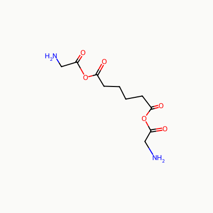 NCC(=O)OC(=O)CCCCC(=O)OC(=O)CN